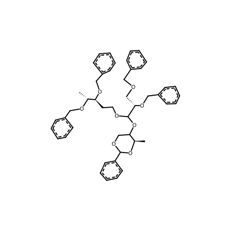 C[C@H]1OC(c2ccccc2)OCC1OC(OCC[C@H](OCc1ccccc1)[C@@H](C)OCc1ccccc1)[C@H](COCc1ccccc1)OCc1ccccc1